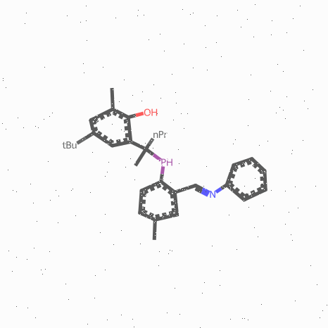 CCCC(C)(Pc1ccc(C)cc1/C=N/c1ccccc1)c1cc(C(C)(C)C)cc(C)c1O